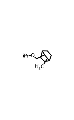 CC(C)OCC1C2CCC(CC2)C1C